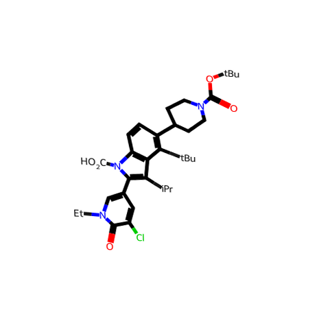 CCn1cc(-c2c(C(C)C)c3c(C(C)(C)C)c(C4CCN(C(=O)OC(C)(C)C)CC4)ccc3n2C(=O)O)cc(Cl)c1=O